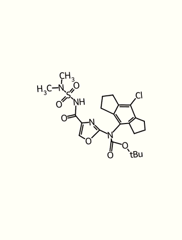 CN(C)S(=O)(=O)NC(=O)c1coc(N(C(=O)OC(C)(C)C)c2c3c(c(Cl)c4c2CCC4)CCC3)n1